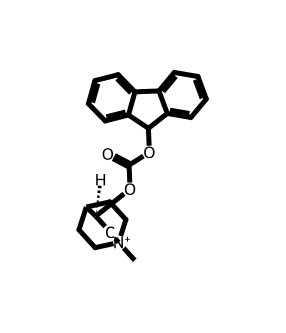 C[N+]12CCC(CC1)[C@@H](OC(=O)OC1c3ccccc3-c3ccccc31)C2